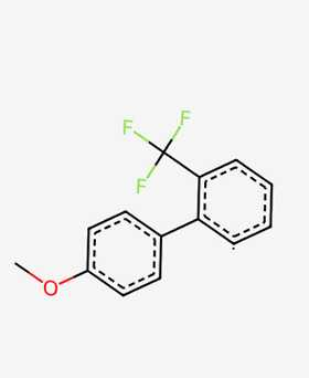 COc1ccc(-c2[c]cccc2C(F)(F)F)cc1